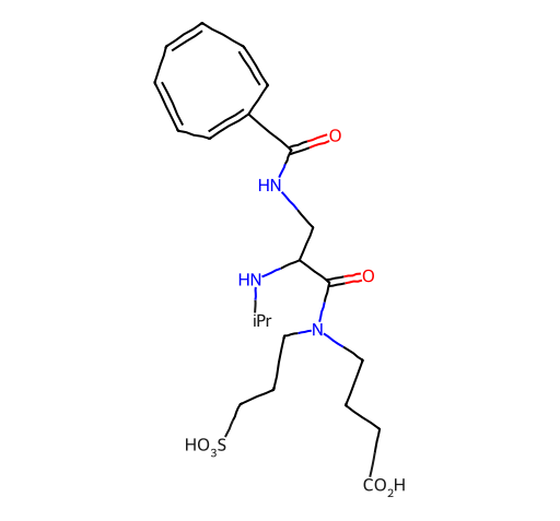 CC(C)NC(CNC(=O)C1=C/C=C\C=C/C=C\1)C(=O)N(CCCC(=O)O)CCCS(=O)(=O)O